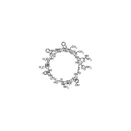 C=C[C@H]1C(=O)N[C@@H](CC(N)=O)C(=O)NC[C@H](O)CCC(=O)N[C@@H](Cc2cnc[nH]2)C(=O)N[C@@H](CC(C)C)C(=O)NC2(C[C@@H]2C)C(=O)N[C@@H](Cc2c[nH]c3ccccc23)C(=O)N[C@@H](CO)C(=O)N[C@@H](Cc2csc3ccccc23)C(=O)N(C)[C@@H](CCCC)C(=O)N(C)[C@@H](CCCC)C(=O)N[C@@H](CCCNC(=N)N)C(=O)NC(C(=O)NCC(N)=O)CSCC(=O)N[C@@H](Cc2ccc(O)cc2)C(=O)N1C